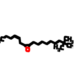 CCC/C=C\CC1OC1CCCCCCCC(C)(C)C